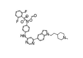 CN1CCC(CCn2ccc3cc(-c4cc(Nc5ccc(N(OC=O)S(=O)(=O)c6c(F)cccc6F)cc5)ncn4)ccc32)CC1